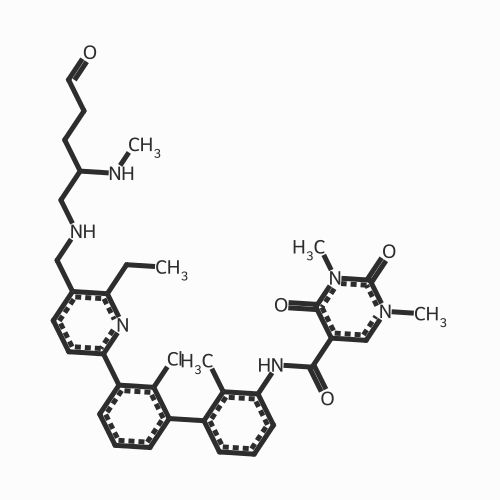 CCc1nc(-c2cccc(-c3cccc(NC(=O)c4cn(C)c(=O)n(C)c4=O)c3C)c2Cl)ccc1CNCC(CCC=O)NC